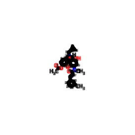 CC(=O)Oc1ccc2c3c1OC1C(N(C)C(=O)/C=C/c4cccc(C)c4)CC[C@@]4(O)[C@@H](C2)N(CC2CC2)CC[C@]314